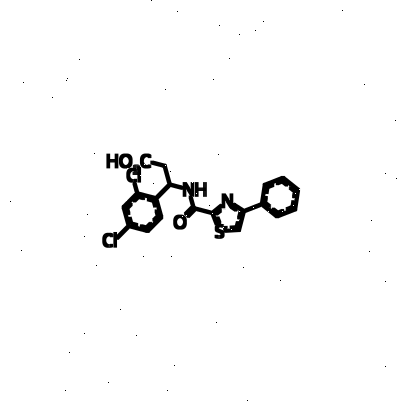 O=C(O)CC(NC(=O)c1nc(-c2ccccc2)cs1)c1ccc(Cl)cc1Cl